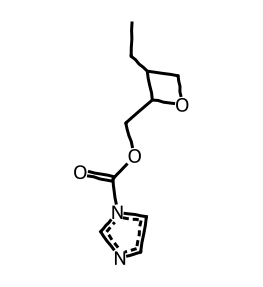 CCC1COC1COC(=O)n1ccnc1